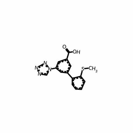 CSc1ccccc1-c1cc(C(=O)O)cc(-n2cnnn2)c1